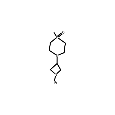 CC(C)N1CC(N2CCP(C)(=O)CC2)C1